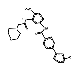 COc1ccc(NC(=O)c2ccc(-c3cccc(C#N)c3)cc2)cc1NC(=O)CN1CCOCC1